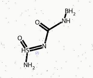 BNC(=O)/N=[SH](/N)=O